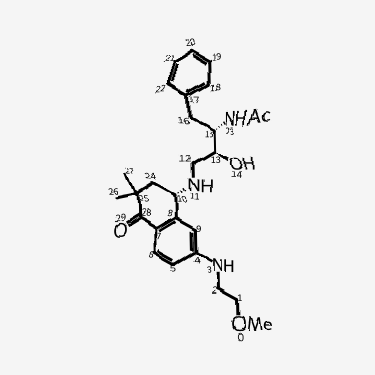 COCCNc1ccc2c(c1)[C@@H](NC[C@H](O)[C@H](Cc1ccccc1)NC(C)=O)CC(C)(C)C2=O